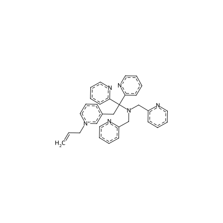 C=CC[n+]1cccc(CC(c2ccccn2)(c2ccccn2)N(Cc2ccccn2)Cc2ccccn2)c1